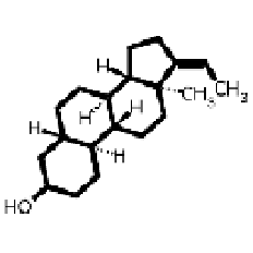 C/C=C1/CC[C@H]2[C@@H]3CC[C@H]4CC(O)CC[C@@H]4[C@H]3CC[C@]12C